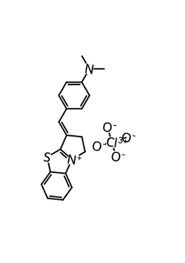 CN(C)c1ccc(C=C2CC[n+]3c2sc2ccccc23)cc1.[O-][Cl+3]([O-])([O-])[O-]